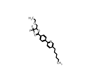 CCCCCCc1ccc(-c2ccc(C(=O)OC(COCC)C(F)(F)F)cc2)nc1